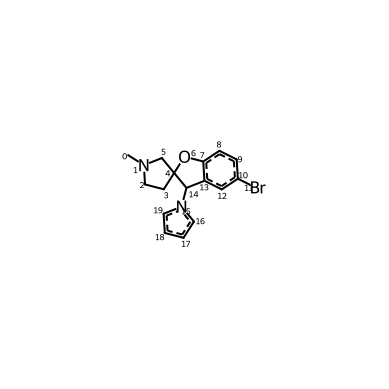 CN1CCC2(C1)Oc1ccc(Br)cc1C2n1cccc1